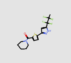 CC(F)(F)C(F)(F)c1cc(-c2ccc(C(=O)N3CCCCC3)s2)n[nH]1